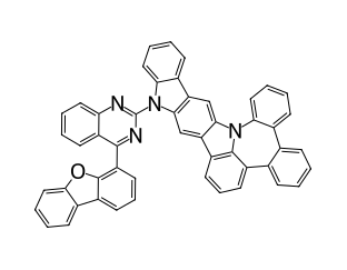 c1ccc2c(c1)-c1ccccc1-n1c3cc4c5ccccc5n(-c5nc(-c6cccc7c6oc6ccccc67)c6ccccc6n5)c4cc3c3cccc-2c31